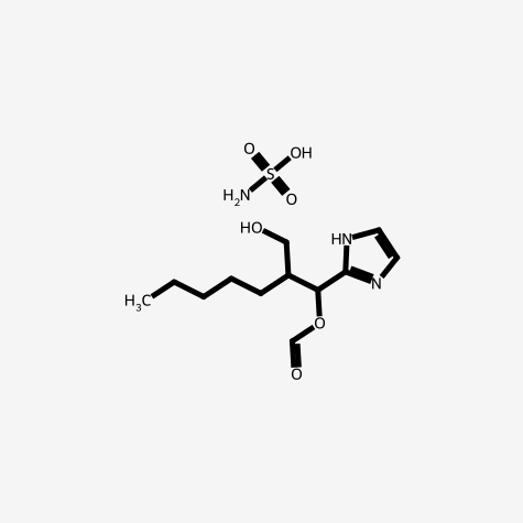 CCCCCC(CO)C(OC=O)c1ncc[nH]1.NS(=O)(=O)O